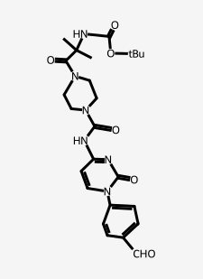 CC(C)(C)OC(=O)NC(C)(C)C(=O)N1CCN(C(=O)Nc2ccn(-c3ccc(C=O)cc3)c(=O)n2)CC1